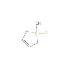 CP1(=S)CC=CC1